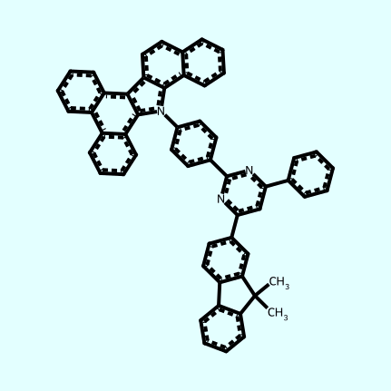 CC1(C)c2ccccc2-c2ccc(-c3cc(-c4ccccc4)nc(-c4ccc(-n5c6c7ccccc7ccc6c6c7ccccc7c7ccccc7c65)cc4)n3)cc21